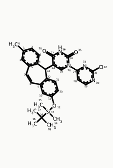 Cc1ccc2c(c1)C=Cc1cc(O[Si](C)(C)C(C)(C)C)ccc1C2c1cn(-c2ccnc(Cl)n2)c(=O)[nH]c1=O